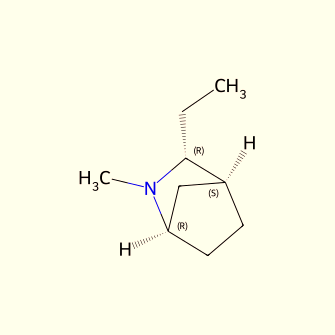 CC[C@@H]1[C@H]2CC[C@H](C2)N1C